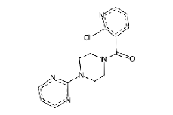 O=C(c1cccnc1Cl)N1CCN(c2ncccn2)CC1